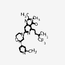 C=C(CCc1nc(N2CCO[C@@H](c3ccnc(C)c3)C2)cc2nc(C)n(C)c(=O)c12)C(F)(F)F